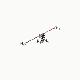 CCCCCCCCCCCCCCCCCCC(=O)O[C@H](COCCCCCCCCCCCCCCCC)COP(=O)([O-])OCC[N+](C)(C)C